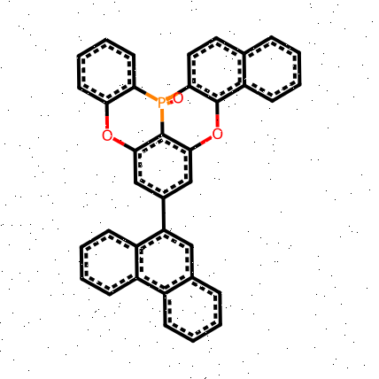 O=P12c3ccccc3Oc3cc(-c4cc5ccccc5c5ccccc45)cc(c31)Oc1c2ccc2ccccc12